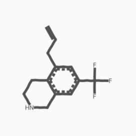 C=CCc1cc(C(F)(F)F)cc2c1CCNC2